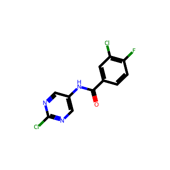 O=C(Nc1cnc(Cl)nc1)c1ccc(F)c(Cl)c1